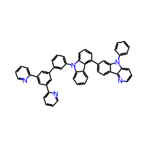 c1ccc(-n2c3cc(-c4cccc5c4c4ccccc4n5-c4cccc(-c5cc(-c6ccccn6)cc(-c6ccccn6)c5)c4)ccc3c3ncccc32)cc1